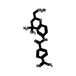 CCOC(=O)CC1CC(C)(C)c2cc(NC(=O)c3ccc(C(=N)N)cc3)ccc2O1